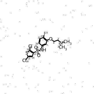 CN(C)CCOc1cc(NS(=O)(=O)c2cc(Cl)sc2Cl)ccc1I